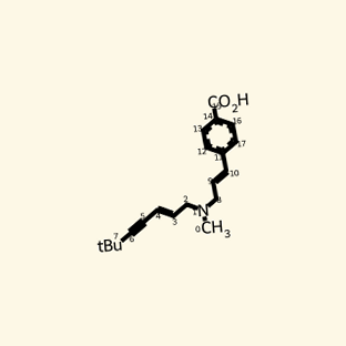 CN(CC=CC#CC(C)(C)C)CC=Cc1ccc(C(=O)O)cc1